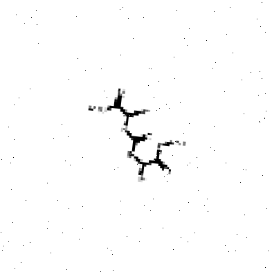 COC(=O)C(NC(=O)NC(C(=O)OC(C)(C)C)C(C)C)C(C)C